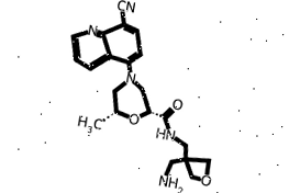 C[C@@H]1CN(c2ccc(C#N)c3ncccc23)C[C@H](C(=O)NCC2(CN)COC2)O1